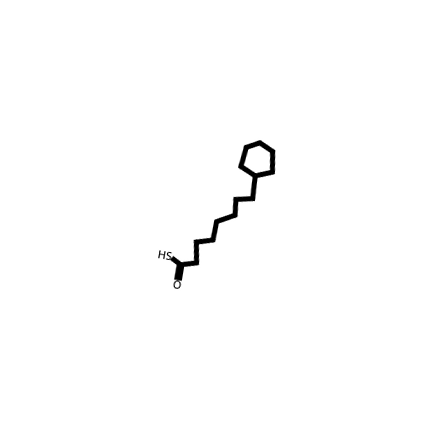 O=C(S)CCCCCCCC1CCCCC1